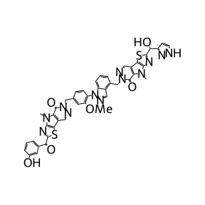 COc1cc(Cn2ncc3c4sc(C(=O)c5cccc(O)c5)nc4n(C)c3c2=O)ccc1-n1ncc2c(Cn3ncc4c5sc(C(O)c6cc[nH]n6)nc5n(C)c4c3=O)cccc21